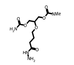 CNC(=O)OCC(COC(N)=O)OCCCC(=O)NN